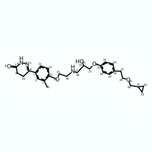 Cc1cc(C2=NNC(=O)CC2)ccc1OCCNCC(O)COc1ccc(CCOCC2CC2)cc1